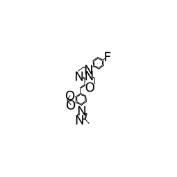 Cc1cn(-c2ccc(/C=C3\OCCN4C3=NCCN4c3ccc(F)cc3)c3c2OCO3)cn1